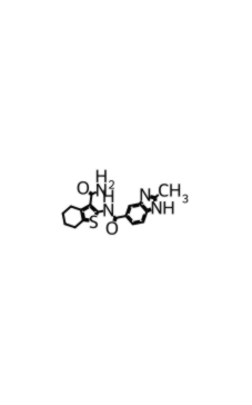 Cc1nc2cc(C(=O)Nc3sc4c(c3C(N)=O)CCCC4)ccc2[nH]1